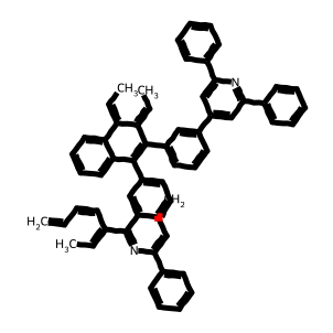 C=C\C=C/C(=C\C)C(=N/C(=C\C=C)c1ccccc1)/c1cccc(-c2c(-c3cccc(-c4cc(-c5ccccc5)nc(-c5ccccc5)c4)c3)c(=C/C)/c(=C\C)c3ccccc23)c1